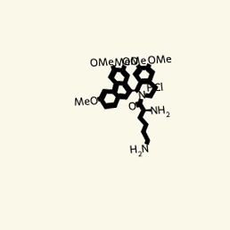 COc1ccc2cc([C@H]3c4cc(OC)c(OC)cc4CCN3C(=O)[C@@H](N)CCCCN)c3cc(OC)c(OC)cc3c2c1.Cl